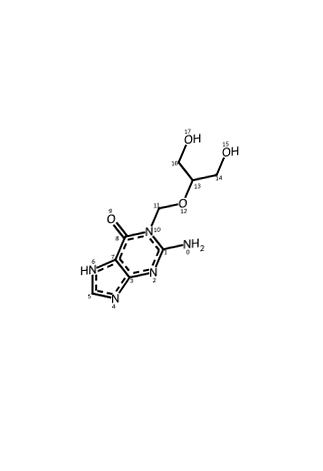 Nc1nc2nc[nH]c2c(=O)n1COC(CO)CO